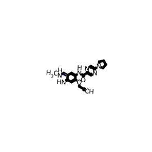 C#CCOC1=CC(=N)/C(=C\NC)C=C1NC(=O)c1cnc(N2CCCC2)cn1